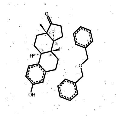 C[C@]12CC[C@@H]3c4ccc(O)cc4CC[C@H]3[C@@H]1CCC2=O.c1ccc(COCc2ccccc2)cc1